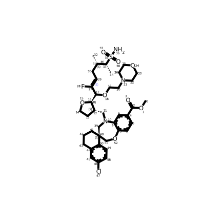 COC(=O)c1ccc2c(c1)N(C[C@@H]1CCO[C@H]1C(OCCN1CCOCC1)/C(F)=C/C[C@H](C)[C@@H](C)S(N)(=O)=O)C[C@@]1(CCCc3cc(Cl)ccc31)CO2